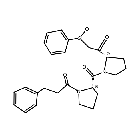 O=C(C[S+]([O-])c1ccccc1)[C@@H]1CCCN1C(=O)[C@@H]1CCCN1C(=O)CCc1ccccc1